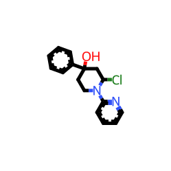 OC1(c2ccccc2)CCN(c2ccccn2)C(Cl)C1